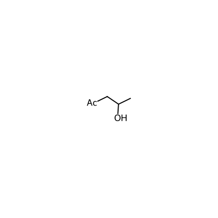 CC(O)[CH2][Ac]